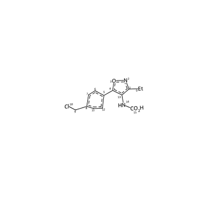 CCc1noc(-c2ccc(CCl)cc2)c1NC(=O)O